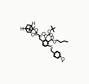 CCCCOC(=O)c1c(SCc2ccc(OC)cc2)ccc(C[C@@H](Cl)B2OC3C[C@@H]4C[C@@H](C4(C)C)[C@]3(C)O2)c1OC(=O)OC(C)(C)C